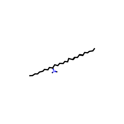 CCCCCC=CCC=CCCCCCCCC(CCCCCCCCC)N(C)C